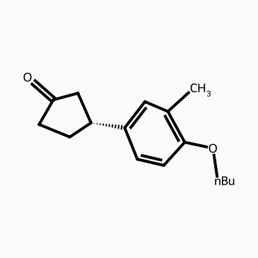 CCCCOc1ccc([C@@H]2CCC(=O)C2)cc1C